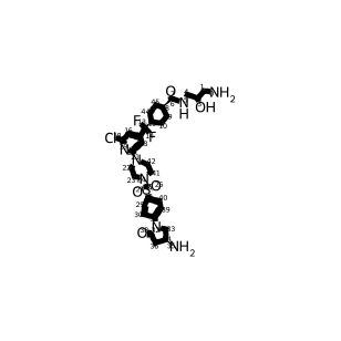 NCC(O)CNC(=O)[C@H]1CC[C@H](C(F)(F)c2cc(Cl)nc(N3CCN(S(=O)(=O)c4ccc(N5C[C@H](N)CC5=O)cc4)CC3)c2)CC1